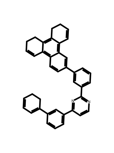 C1=CCCC(c2cccc(-c3ccnc(-c4cccc(-c5ccc6c7c(c8c(c6c5)C=CCC8)CCC=C7)c4)n3)c2)=C1